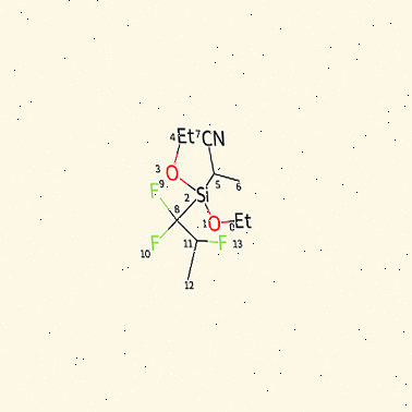 CCO[Si](OCC)(C(C)C#N)C(F)(F)C(C)F